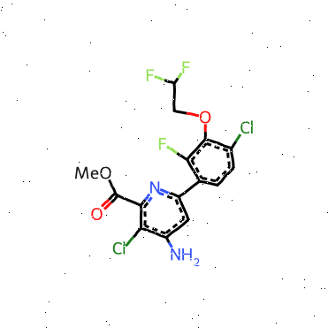 COC(=O)c1nc(-c2ccc(Cl)c(OCC(F)F)c2F)cc(N)c1Cl